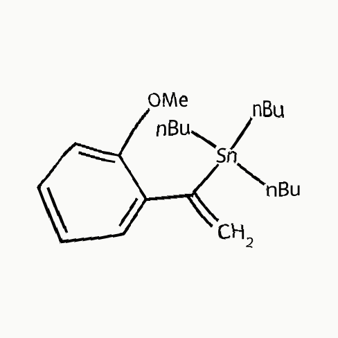 C=[C](c1ccccc1OC)[Sn]([CH2]CCC)([CH2]CCC)[CH2]CCC